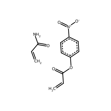 C=CC(=O)Oc1ccc([N+](=O)[O-])cc1.C=CC(N)=O